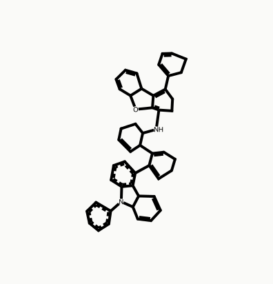 C1=CCCC(C2=C3C(=C(NC4CCC=CC4C4=CCCC=C4c4cccc5c4C4C=CC=CC4N5c4ccccc4)CC2)OC2C=CC=CC32)=C1